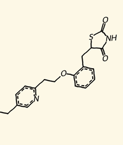 CCc1ccc(CCOc2ccccc2CC2SC(=O)NC2=O)nc1